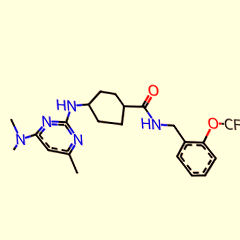 Cc1cc(N(C)C)nc(NC2CCC(C(=O)NCc3ccccc3OC(F)(F)F)CC2)n1